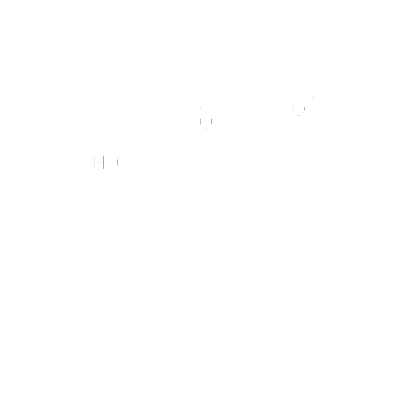 CC1OC(=O)C2=C3CCC(C3)C21